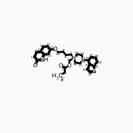 CCC(=O)OC[N+]1(CCCCOc2ccc3ccc(=O)[nH]c3c2)CCN(c2cccc3sccc23)CC1.[I-]